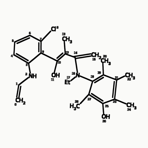 C=CNc1cccc(Cl)c1/C(O)=C(\C)C(=C)N(CC)c1c(C)c(C)c(C)c(O)c1C